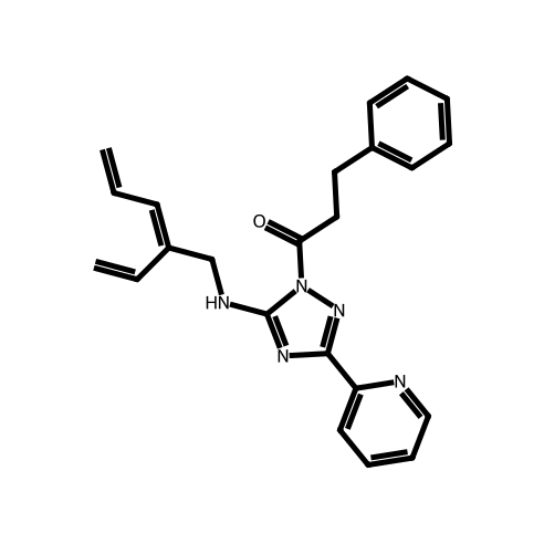 C=C/C=C(\C=C)CNc1nc(-c2ccccn2)nn1C(=O)CCc1ccccc1